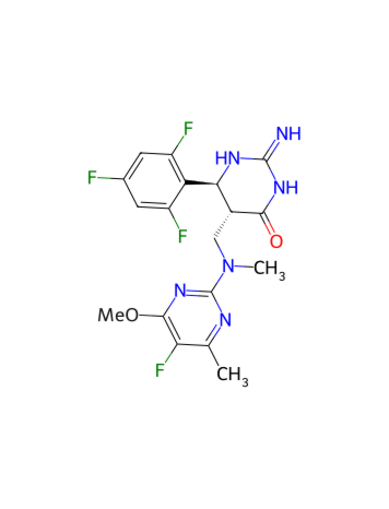 COc1nc(N(C)C[C@H]2C(=O)NC(=N)N[C@@H]2c2c(F)cc(F)cc2F)nc(C)c1F